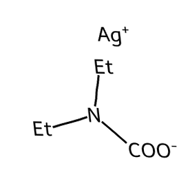 CCN(CC)C(=O)[O-].[Ag+]